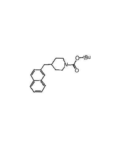 CC(C)(C)OC(=O)N1CCC(Cc2ccc3ccccc3c2)CC1